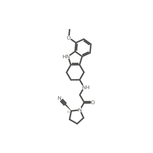 COc1cccc2c3c([nH]c12)CCC(NCC(=O)N1CCC[C@H]1C#N)C3